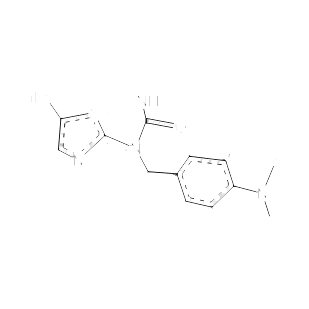 CC(C)c1cnc(N(Cc2ccc(N(C)C)cc2)C(N)=O)s1